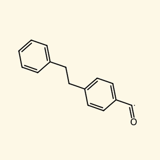 O=[C]c1ccc(CCc2ccccc2)cc1